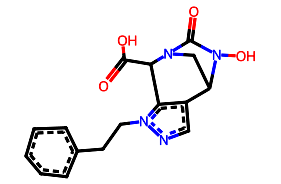 O=C(O)C1c2c(cnn2CCc2ccccc2)C2CN1C(=O)N2O